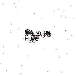 CC(OC(=O)OC(C)C(CCCCOc1ccc(-c2ccnn2C2CCCCO2)nc1)C(N)=O)C(CCCCOc1ccc(-c2ccnn2C2CCCCO2)nc1)C(N)=O